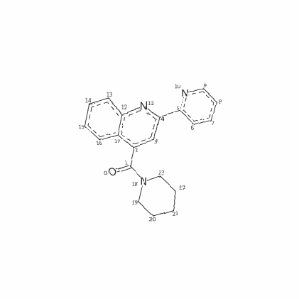 O=C(c1cc(-c2ccccn2)nc2ccccc12)N1CCCCC1